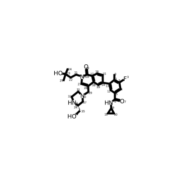 Cc1c(F)cc(C(=O)NC2CC2)cc1-c1ccc2c(=O)n(CCC(C)(C)O)cc(CN3CCN[C@@H](CO)C3)c2c1